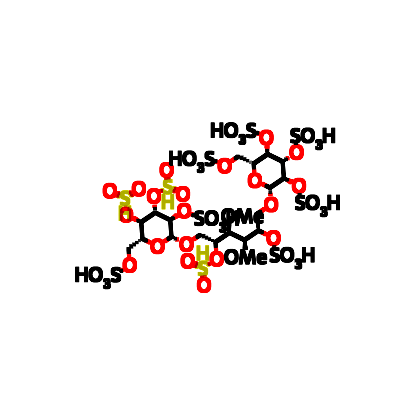 CO[C@@H]([C@H](OC)[C@@H](CO[C@@H]1O[C@H](COS(=O)(=O)O)[C@@H](OS(=O)(=O)O)[C@H](OS(=O)(=O)O)[C@H]1OS(=O)(=O)O)OS(=O)(=O)O)[C@@H](CO[C@@H]1O[C@H](COS(=O)(=O)O)[C@@H](O[SH](=O)=O)[C@H](O[SH](=O)=O)[C@H]1OS(=O)(=O)O)O[SH](=O)=O